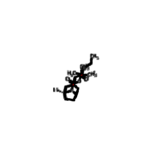 CCOC(=O)/C=C1\CC2CC[C@@H](C1)N2C(=O)OC(C)(C)C